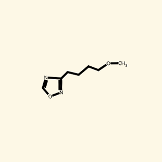 COCCCCc1ncon1